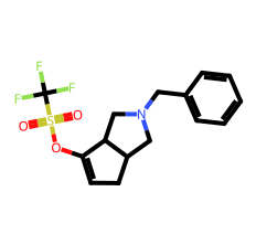 O=S(=O)(OC1=CCC2CN(Cc3ccccc3)CC12)C(F)(F)F